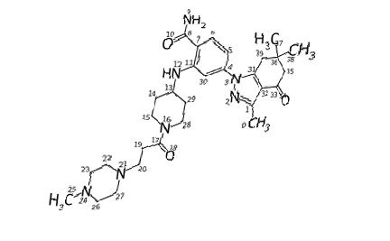 Cc1nn(-c2ccc(C(N)=O)c(NC3CCN(C(=O)CCN4CCN(C)CC4)CC3)c2)c2c1C(=O)CC(C)(C)C2